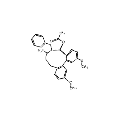 COc1ccc2c(c1)-c1cc(OC)ccc1C(OC(C)=O)C(Cc1ccccc1)N(C)CC2